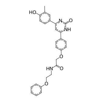 Cc1cc(-c2cc(-c3ccc(OCC(=O)NCCOc4ccccc4)cc3)[nH]c(=O)n2)ccc1O